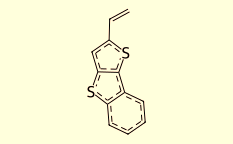 C=Cc1cc2sc3ccccc3c2s1